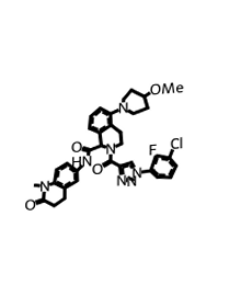 COC1CCN(c2cccc3c2CCN(C(=O)c2cn(-c4cccc(Cl)c4F)nn2)C3C(=O)Nc2ccc3c(c2)CCC(=O)N3C)CC1